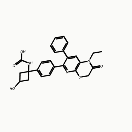 CCN1C(=O)COc2nc(-c3ccc(C4(NC(=O)O)CC(O)C4)cc3)c(-c3ccccc3)cc21